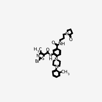 Cc1ccccc1N1CCN(c2ccc(C(=O)NCCCN3CCCC3=O)cc2NC(=O)c2sc(Br)nc2C)CC1